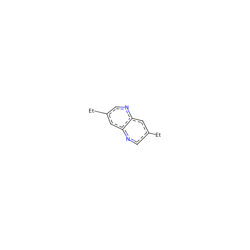 CCc1cnc2cc(CC)cnc2c1